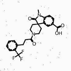 CN1C(=O)C2(CCN(C(=O)CCc3ccccc3C(F)(F)F)CC2)c2cc(C(=O)O)ccc21